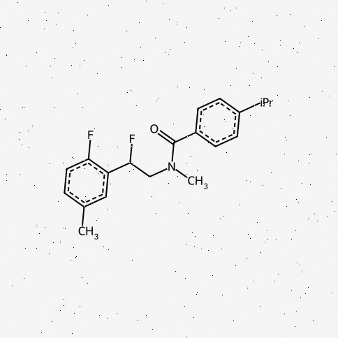 Cc1ccc(F)c(C(F)CN(C)C(=O)c2ccc(C(C)C)cc2)c1